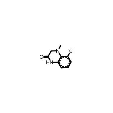 CN1CC(=O)Nc2cccc(Cl)c21